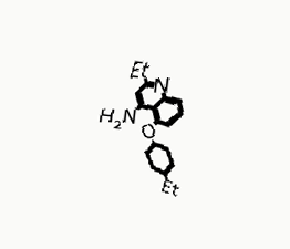 CCc1cc(N)c2c(O[C@H]3CC[C@H](CC)CC3)cccc2n1